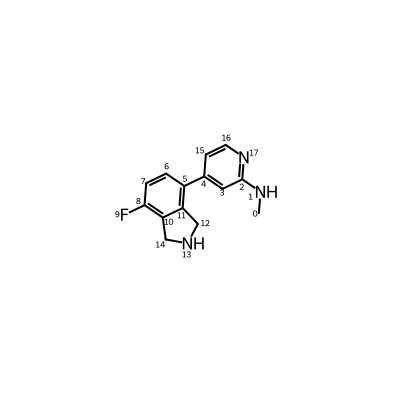 CNc1cc(-c2ccc(F)c3c2CNC3)ccn1